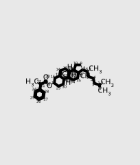 CC(C)CCC[C@@H](C)[C@H]1CC[C@H]2[C@@H]3CC=C4C[C@@H](OC(=O)C(C)c5ccccc5)CC[C@]4(C)[C@H]3CC[C@]12C